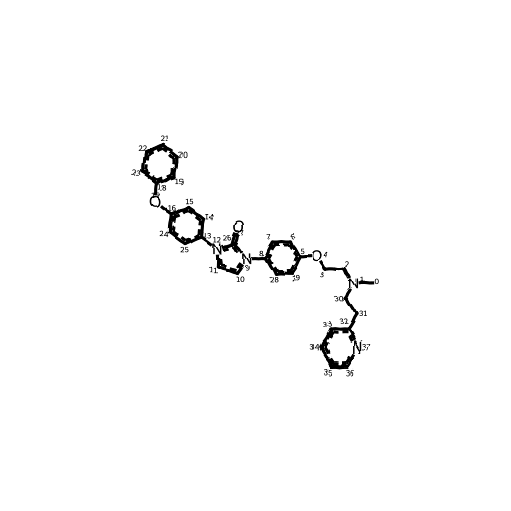 CN(CCOc1ccc(-n2ccn(-c3ccc(Oc4ccccc4)cc3)c2=O)cc1)CCc1ccccn1